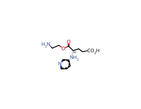 NCCOC(=O)[C@@H](N)CCC(=O)O.c1ccncc1